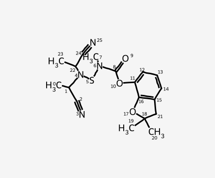 CC(C#N)N(SN(C)C(=O)Oc1cccc2c1OC(C)(C)C2)C(C)C#N